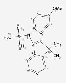 COc1ccc2c(c1)c1c(n2S(C)(C)C)-c2ccccc2C1(C)C